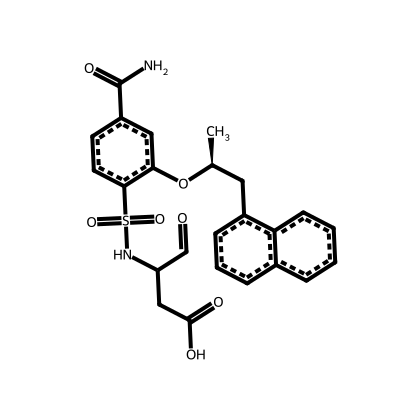 C[C@@H](Cc1cccc2ccccc12)Oc1cc(C(N)=O)ccc1S(=O)(=O)NC(C=O)CC(=O)O